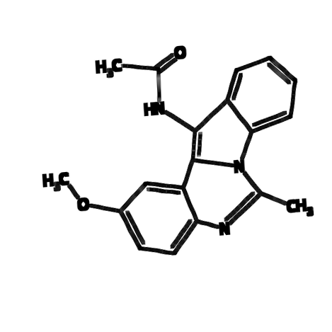 COc1ccc2nc(C)n3c4ccccc4c(NC(C)=O)c3c2c1